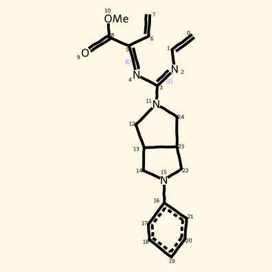 C=C/N=C(\N=C(/C=C)C(=O)OC)N1CC2CN(c3ccccc3)CC2C1